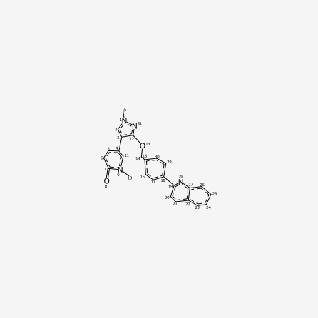 Cn1cc(-c2ccc(=O)n(C)c2)c(OCc2ccc(-c3ccc4ccccc4n3)cc2)n1